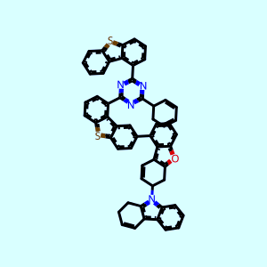 C1=CCC(c2nc(-c3cccc4sc5ccccc5c34)nc(-c3cccc4sc5ccc(-c6cccc7oc8c(c67)C=CC(n6c7c(c9ccccc96)C=CCC7)C8)cc5c34)n2)C=C1